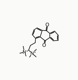 C[N+](C)(C)C(CCc1cccc2c1C(=O)c1ccccc1C2=O)[N+](C)(C)C